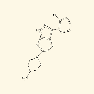 NC1CCN(c2cnc3c(-c4ccccc4Cl)n[nH]c3n2)CC1